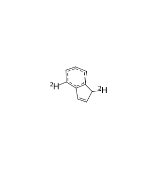 [2H]c1cccc2c1C=CC2[2H]